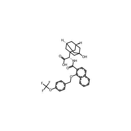 O=C(N[C@H](C(=O)O)C12C[C@@H]3C[C@@H](CC(O)(C3)C1)C2)c1ccc2ccccc2c1OCc1ccc(OC(F)(F)F)cc1